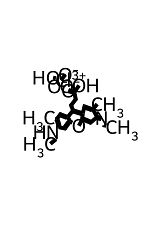 CCN=c1cc2oc3cc(NCC)c(C)cc3c(CCC(=O)O)c-2cc1C.[O-][Cl+3]([O-])([O-])O